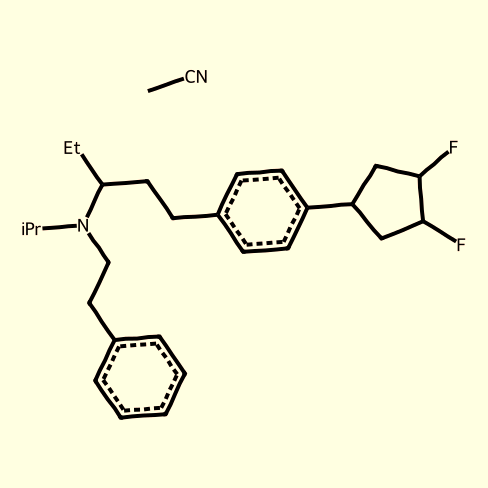 CC#N.CCC(CCc1ccc(C2CC(F)C(F)C2)cc1)N(CCc1ccccc1)C(C)C